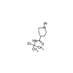 CCC(C)(C)NC(=O)C1CCN(C(C)C)CC1